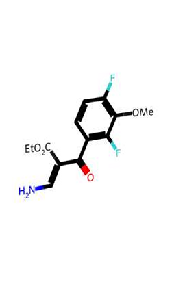 CCOC(=O)/C(=C\N)C(=O)c1ccc(F)c(OC)c1F